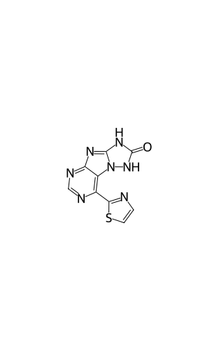 O=c1[nH]c2nc3ncnc(-c4nccs4)c3n2[nH]1